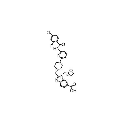 O=C(O)c1ccc2nc(CN3CCC(c4cccc(NC(=O)c5ccc(Cl)cc5F)n4)CC3)n(C[C@@H]3CCO3)c2c1